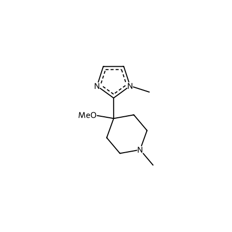 COC1(c2nccn2C)CCN(C)CC1